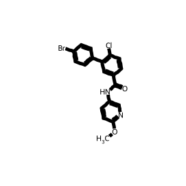 COc1ccc(NC(=O)c2ccc(Cl)c(-c3ccc(Br)cc3)c2)cn1